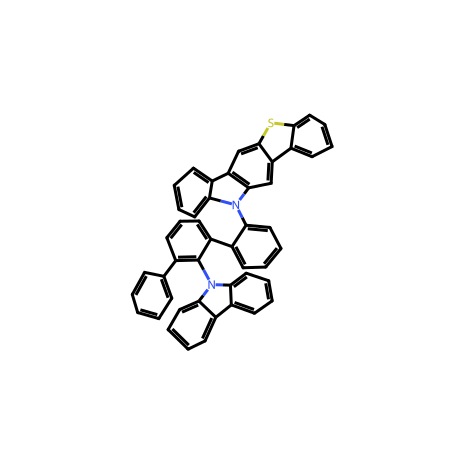 c1ccc(-c2cccc(-c3ccccc3-n3c4ccccc4c4cc5sc6ccccc6c5cc43)c2-n2c3ccccc3c3ccccc32)cc1